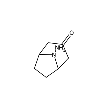 NN1C2CCC1CC(=O)C2